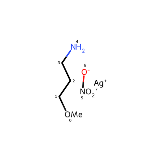 COCCCN.O=[N+]([O-])[O-].[Ag+]